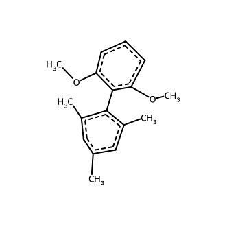 COc1cccc(OC)c1-c1c(C)cc(C)cc1C